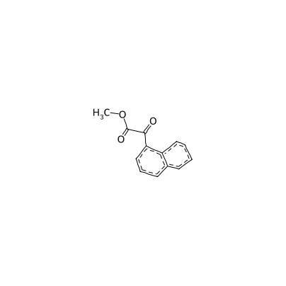 COC(=O)C(=O)c1cccc2ccccc12